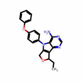 CCC1OCc2c1c1ncnc(N)c1n2-c1ccc(Oc2ccccc2)cc1